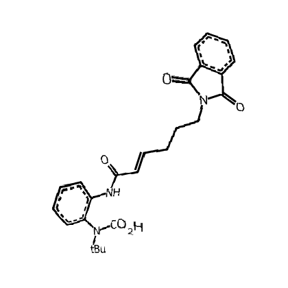 CC(C)(C)N(C(=O)O)c1ccccc1NC(=O)C=CCCCN1C(=O)c2ccccc2C1=O